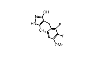 COc1ccc(Cc2c(O)n[nH]c2C)c(F)c1F